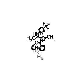 CCC(Nc1ccc(C(F)(F)F)cn1)C1CC(C)CN1C(=O)c1cccc(C)c1-n1nccn1